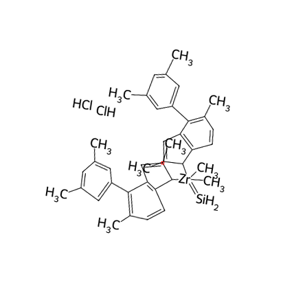 CC1=Cc2c(ccc(C)c2-c2cc(C)cc(C)c2)[CH]1[Zr]([CH3])([CH3])(=[SiH2])[CH]1C(C)=Cc2c1ccc(C)c2-c1cc(C)cc(C)c1.Cl.Cl